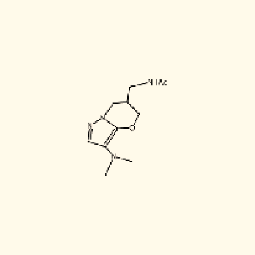 CC(=O)NCC1COc2c(N(C)C)cnn2C1